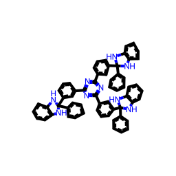 c1ccc(C2(c3cccc(-c4nc(-c5cccc(C6(c7ccccc7)Nc7ccccc7N6)c5)nc(-c5cccc(C6(c7ccccc7)Nc7ccccc7N6)c5)n4)c3)Nc3ccccc3N2)cc1